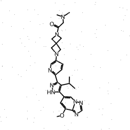 COc1cc(-c2[nH]nc(-c3ccc(N4CC5(CN(C(=O)CN(C)C)C5)C4)cn3)c2C(C)C)cn2ncnc12